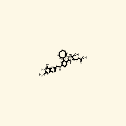 Nc1nc2ncc(CNc3ccc(C(=O)NC(CCC(=O)O)C(=O)O)c(C4C#CCCCCC4)c3)nc2c(=O)[nH]1